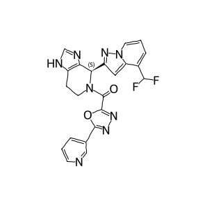 O=C(c1nnc(-c2cccnc2)o1)N1CCc2[nH]cnc2[C@H]1c1cc2c(C(F)F)cccn2n1